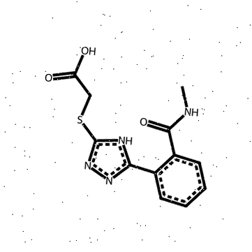 CNC(=O)c1ccccc1-c1nnc(SCC(=O)O)[nH]1